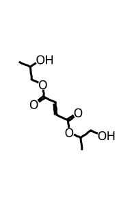 CC(O)COC(=O)/C=C/C(=O)OC(C)CO